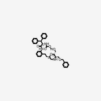 COC(=O)N[C@H](C(=O)Nc1ccccc1CC[C@@H]1CN[C@H](COCc2ccccc2)[C@@H](CO)O1)C(c1ccccc1)c1ccccc1